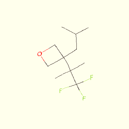 CC(C)CC1(C(C)(C)C(F)(F)F)COC1